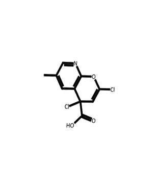 Cc1cnc2c(c1)C(Cl)(C(=O)O)C=C(Cl)O2